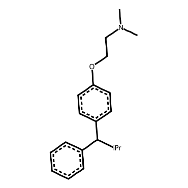 CC(C)C(c1ccccc1)c1ccc(OCCN(C)C)cc1